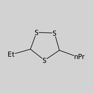 CCCC1SSC(CC)S1